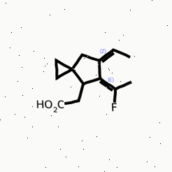 C/C=C1/CC2(CC2)C(CC(=O)O)/C1=C(/C)F